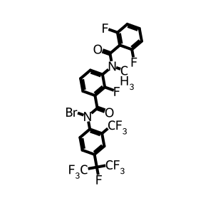 CN(C(=O)c1c(F)cccc1F)c1cccc(C(=O)N(Br)c2ccc(C(F)(C(F)(F)F)C(F)(F)F)cc2C(F)(F)F)c1F